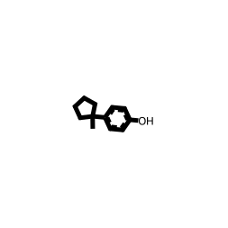 CC1(c2ccc(O)cc2)CCCC1